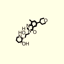 Cc1cc(C2CCOCC2)cc2c(=O)n(CC(O)C[C@H]3NCCC[C@@H]3O)cnc12